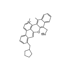 Cc1c2c(c(CC(C)(C)C)c3ccccc13)Oc1cc3c(CC4CCCC4)cccc3c3cc[n+](C)c-2c13